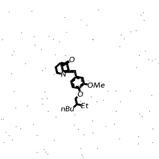 CCCCC(CC)COc1ccc(C=C2C(=O)C3CCN2CC3)cc1OC